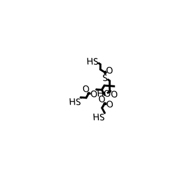 CC(CSC(=O)CCS)(CC(COC(=O)CCS)COC(=O)CCS)C(=O)O